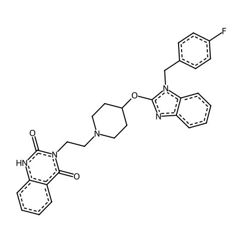 O=c1[nH]c2ccccc2c(=O)n1CCN1CCC(Oc2nc3ccccc3n2Cc2ccc(F)cc2)CC1